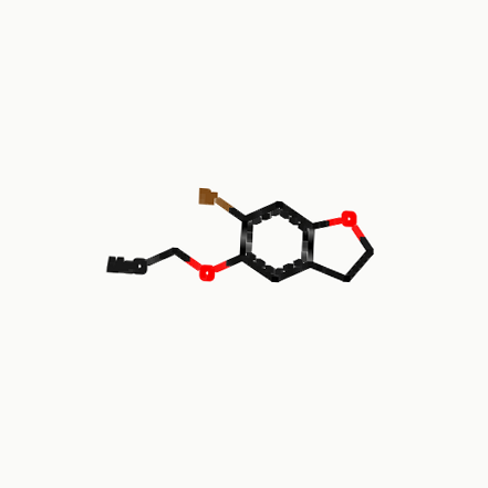 COCOc1cc2c(cc1Br)OCC2